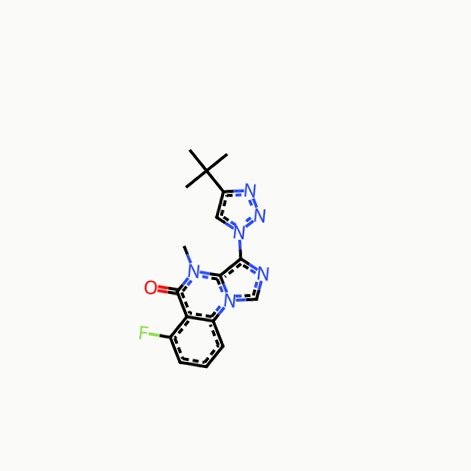 Cn1c(=O)c2c(F)cccc2n2cnc(-n3cc(C(C)(C)C)nn3)c12